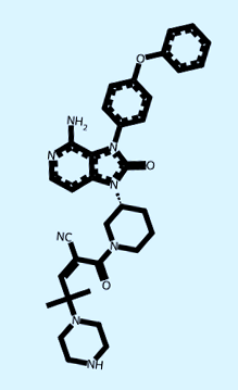 CC(C)(/C=C(/C#N)C(=O)N1CCC[C@@H](n2c(=O)n(-c3ccc(Oc4ccccc4)cc3)c3c(N)nccc32)C1)N1CCNCC1